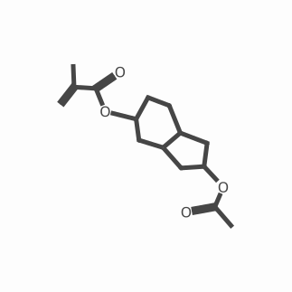 C=C(C)C(=O)OC1CCC2CC(OC(C)=O)CC2C1